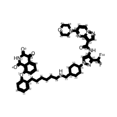 O=C1NC(=O)c2c(Oc3ccccc3CCCCCCNCC3CCC(n4cc(NC(=O)c5cnn6ccc(N7CCOCC7)nc56)c(C(F)F)n4)CC3)cccc2C1=O